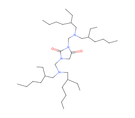 CCCCC(CC)CN(CC(CC)CCCC)CN1CC(=O)N(CN(CC(CC)CCCC)CC(CC)CCCC)C1=O